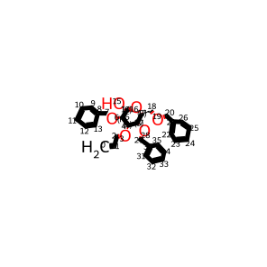 C=CCO[C@@H]1[C@@H](OCc2ccccc2)[C@@H](O)O[C@H](COCc2ccccc2)[C@@H]1OCc1ccccc1